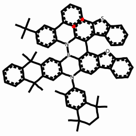 Cc1cc2c(cc1N1c3cc4c(cc3B3c5c1cc1c(oc6ccccc61)c5-c1c(ccc5sc6ccccc6c15)N3c1ccc(C(C)(C)C)cc1-c1ccccc1)C(C)(C)c1ccccc1C4(C)C)C(C)(C)CCC2(C)C